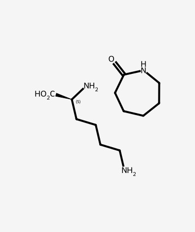 NCCCC[C@H](N)C(=O)O.O=C1CCCCCN1